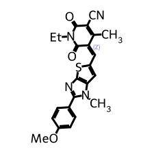 CCN1C(=O)C(C#N)=C(C)/C(=C/c2cc3c(nc(-c4ccc(OC)cc4)n3C)s2)C1=O